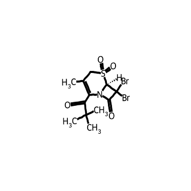 CC1=C(C(=O)C(C)(C)C)N2C(=O)C(Br)(Br)[C@@H]2S(=O)(=O)C1